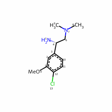 COc1cc([C@H](N)CN(C)C)ccc1Cl